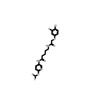 O=C(COc1ccc(Cl)c(F)c1)NCCCCC(=O)Nc1ccc(OC(F)F)nc1